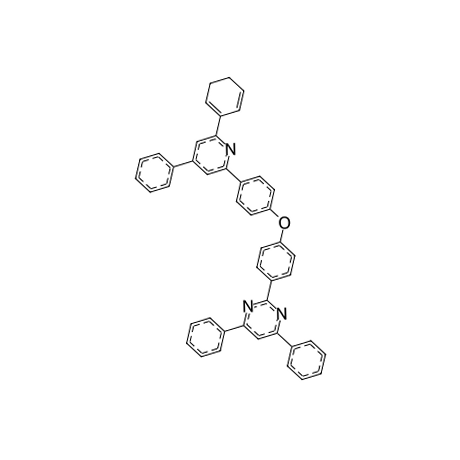 C1=CC(c2cc(-c3ccccc3)cc(-c3ccc(Oc4ccc(-c5nc(-c6ccccc6)cc(-c6ccccc6)n5)cc4)cc3)n2)=CCC1